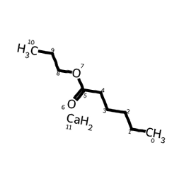 CCCCCC(=O)OCCC.[CaH2]